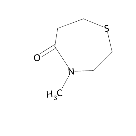 CN1CCSCCC1=O